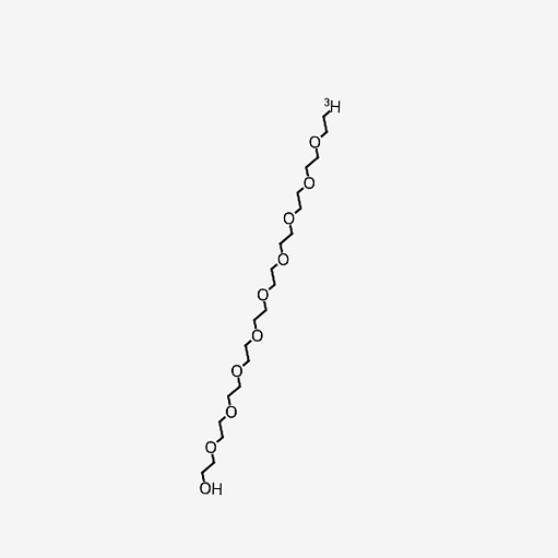 [3H]CCOCCOCCOCCOCCOCCOCCOCCOCCOCCO